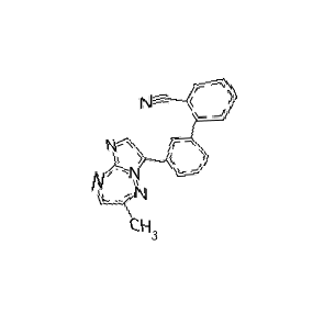 Cc1cnc2ncc(-c3cccc(-c4ccccc4C#N)c3)n2n1